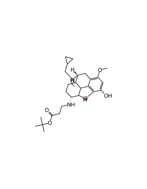 COc1cc(O)c2c3c1C[C@@H]1[C@@H]4CC[C@@H](NCCC(=O)OC(C)(C)C)[C@H](O2)[C@]34CCN1CC1CC1